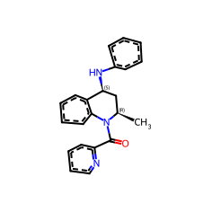 C[C@@H]1C[C@H](Nc2ccccc2)c2ccccc2N1C(=O)c1ccccn1